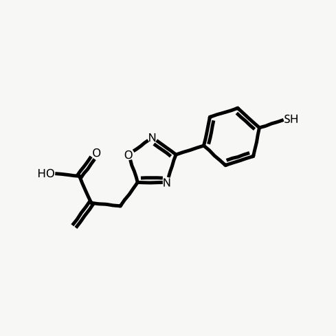 C=C(Cc1nc(-c2ccc(S)cc2)no1)C(=O)O